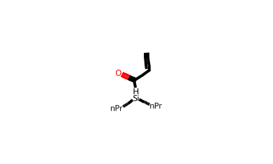 C=CC(=O)[SiH](CCC)CCC